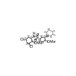 COc1ccc(S(=O)(=O)Nc2cc(Cl)cc(Cl)c2OC)cc1N1CCCCC1